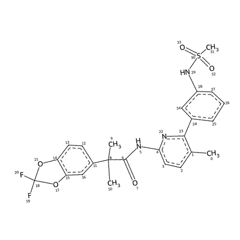 Cc1ccc(NC(=O)C(C)(C)c2ccc3c(c2)OC(F)(F)O3)nc1-c1cccc(NS(C)(=O)=O)c1